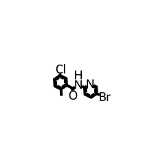 Cc1ccc(Cl)cc1C(=O)Nc1ccc(Br)cn1